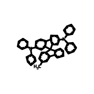 Cc1ccc2c(c1)-c1ccccc1C21c2cc(N(c3ccccc3)c3ccccc3)ccc2-c2ccc(N(c3ccccc3)c3ccccc3)cc21